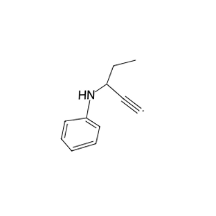 [C]#CC(CC)Nc1ccccc1